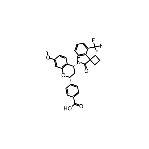 COc1ccc2c(c1)O[C@@H](c1ccc(C(=O)O)cc1)C[C@H]2NC(=O)C1(c2ccccc2C(F)(F)F)CCC1